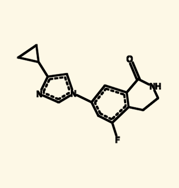 O=C1NCCc2c(F)cc(-n3cnc(C4CC4)c3)cc21